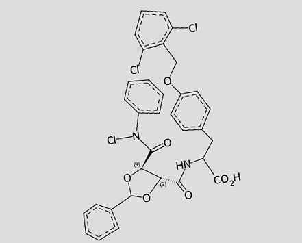 O=C(O)C(Cc1ccc(OCc2c(Cl)cccc2Cl)cc1)NC(=O)[C@@H]1OC(c2ccccc2)O[C@H]1C(=O)N(Cl)c1ccccc1